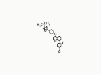 CC(C)c1noc(C2CCC(Oc3ccnc4c(-c5ccc(C#N)cc5F)cccc34)CC2)n1